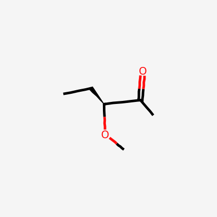 CC[C@H](OC)C(C)=O